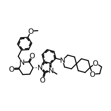 COc1ccc(CN2C(=O)CC[C@@H](n3c(=O)n(C)c4c(N5CCC6(CC5)CCC5(CC6)OCCO5)cccc43)C2=O)cc1